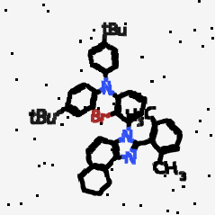 Cc1cccc(C)c1-c1nc2c3c(ccc2n1-c1cccc(N(c2ccc(C(C)(C)C)cc2)c2ccc(C(C)(C)C)cc2)c1Br)CCCC3